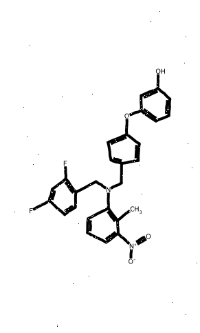 Cc1c(N(Cc2ccc(Oc3cccc(O)c3)cc2)Cc2ccc(F)cc2F)cccc1[N+](=O)[O-]